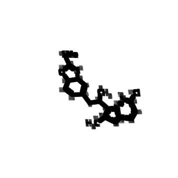 CSC1=NC2C=C(CC(C)c3c(C)cc4ccc(Cl)nn34)C=CC2O1